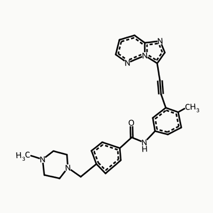 Cc1ccc(NC(=O)c2ccc(CN3CCN(C)CC3)cc2)cc1C#Cc1cnc2cccnn12